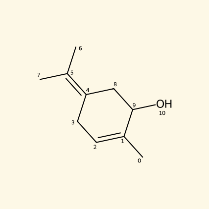 CC1=CCC(=C(C)C)CC1O